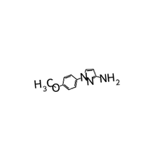 COc1ccc(-n2ccc(N)n2)cc1